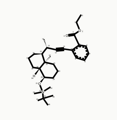 CCOC(=O)c1ccccc1C#C[C@@H](C)[C@@H]1CCC[C@H]2[C@H](O[Si](C)(C)C(C)(C)C)CCC[C@]12C